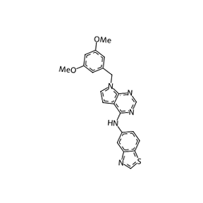 COc1cc(Cn2ccc3c(Nc4ccc5scnc5c4)ncnc32)cc(OC)c1